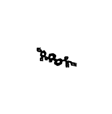 N#CCNC(=O)c1cccc(-c2cccc(Oc3ccc(Cl)cc3Cl)n2)c1